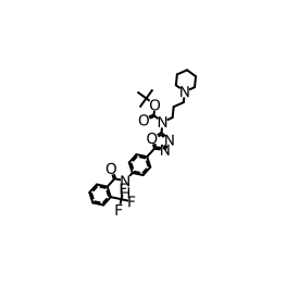 CC(C)(C)OC(=O)N(CCCN1CCCCC1)c1nnc(-c2ccc(NC(=O)c3ccccc3C(F)(F)F)cc2)o1